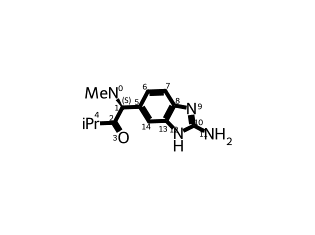 CN[C@H](C(=O)C(C)C)c1ccc2nc(N)[nH]c2c1